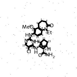 CCN1C(=O)CCCc2c1ccc(Nc1ncc(Cl)c(N[C@H]3[C@@H]4CC[C@@H](C4)[C@H]3C(N)=O)n1)c2OC